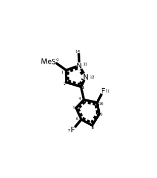 CSc1cc(-c2cc(F)ccc2F)nn1C